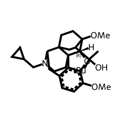 COc1ccc2c3c1O[C@H]1C4(OC)CCC5(CC4C(C)(O)C(C)(C)C)C(C2)N(CC2CC2)CCC315